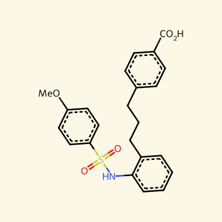 COc1ccc(S(=O)(=O)Nc2ccccc2CCCc2ccc(C(=O)O)cc2)cc1